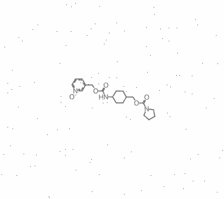 O=C(NC1CCC(COC(=O)N2CCCC2)CC1)OCc1ccc[n+]([O-])c1